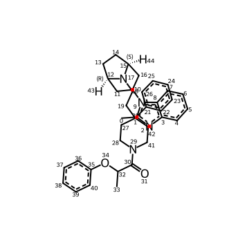 Cc1nc2ccccc2n1C1C[C@H]2CC[C@@H](C1)N2CCC1(c2ccccc2)CCN(C(=O)C(C)Oc2ccccc2)CC1